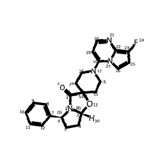 O=C1N2[C@@H](CC[C@H]2c2ccccc2)OC12CCN(c1ccnc3c(F)ccn13)CC2